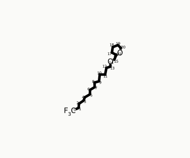 FC(F)(F)CCCCCCCCCCCCCOCC1CCCCO1